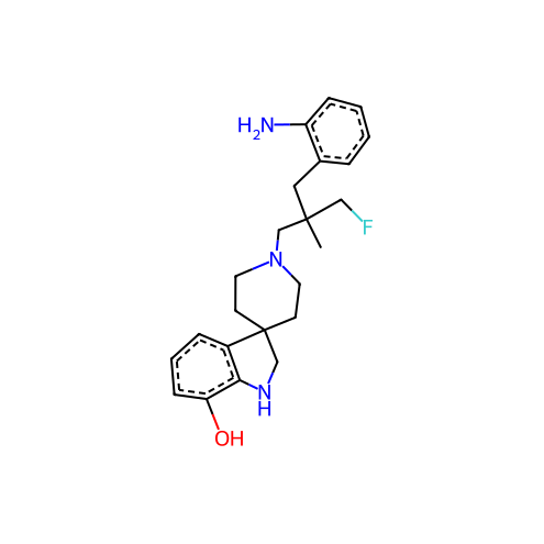 CC(CF)(Cc1ccccc1N)CN1CCC2(CC1)CNc1c(O)cccc12